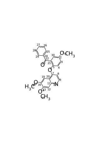 COc1ccc(Oc2ccnc3cc(OC)c(OC)cc23)c(C(=O)c2ccccc2)c1